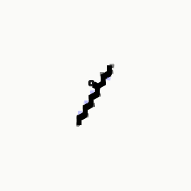 C/C=C/C=C/C=C/C(=O)C/C=C/C